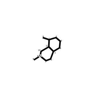 CC1CCCC2CCN(C)CC12